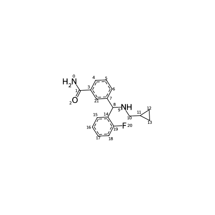 NC(=O)c1cccc(C(NCC2CC2)c2ccccc2F)c1